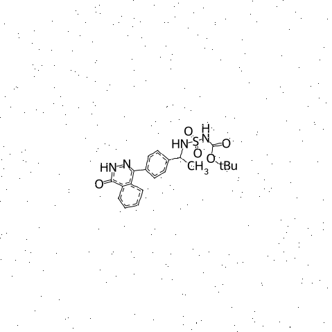 CC(NS(=O)(=O)NC(=O)OC(C)(C)C)c1ccc(-c2n[nH]c(=O)c3ccccc23)cc1